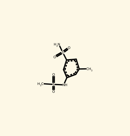 Cc1cc(NS(C)(=O)=O)cc(S(N)(=O)=O)c1